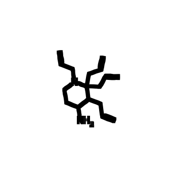 C=CCC1C(N)CCN(CC=C)C1(CC=C)CC=C